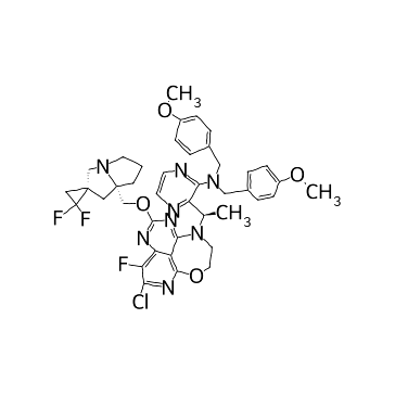 COc1ccc(CN(Cc2ccc(OC)cc2)c2nccnc2[C@@H](C)N2CCOc3nc(Cl)c(F)c4nc(OC[C@@]56CCCN5C[C@]5(CC5(F)F)C6)nc2c34)cc1